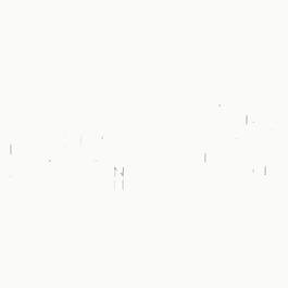 BC(C)(CC)C(=O)c1ccc(NC(=O)CC(C)(S)CC)cc1